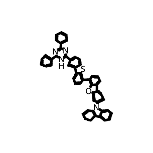 C1=Cc2c(c3ccccc3n2-c2ccc3c(c2)oc2c(-c4cccc5c4sc4ccc(C6=NC(c7ccccc7)=NC(c7ccccc7)N6)cc45)cccc23)CC1